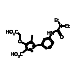 CCN(CC)C(=O)Nc1cccc(-c2sc(C(=O)O)c(OCC(=O)O)c2C)c1